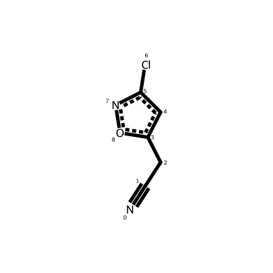 N#CCc1cc(Cl)no1